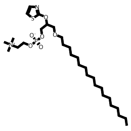 CCCCCCCCCCCCCCCCCCOCC(COP(=O)([O-])OCC[N+](C)(C)C)Oc1nccs1